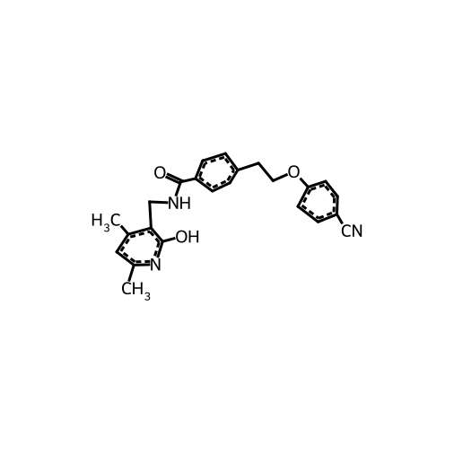 Cc1cc(C)c(CNC(=O)c2ccc(CCOc3ccc(C#N)cc3)cc2)c(O)n1